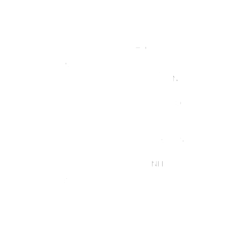 Cc1cc(-c2c(-c3ccc(O)cc3)c3cc(Cl)ccc3[nH]c2=O)on1